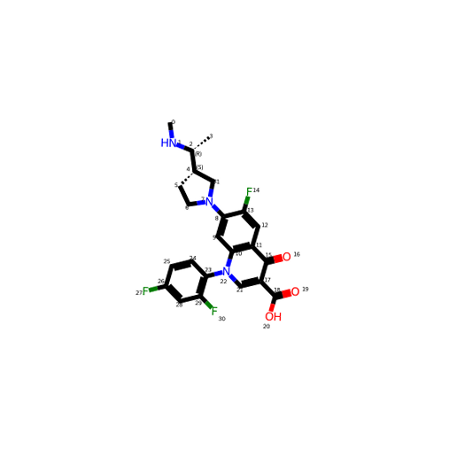 CN[C@H](C)[C@H]1CCN(c2cc3c(cc2F)c(=O)c(C(=O)O)cn3-c2ccc(F)cc2F)C1